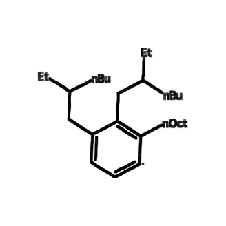 CCCCCCCCc1[c]ccc(CC(CC)CCCC)c1CC(CC)CCCC